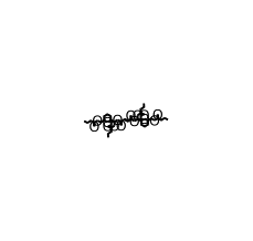 CCCC(=O)OCC1CCCC(C(OC(=O)/C=C/C(=O)OC(OC(=O)CCC)C2CCCC(COC(=O)CCC)O2)OC(=O)CCC)O1